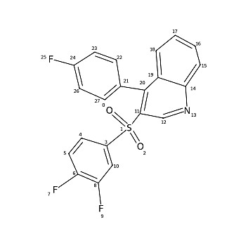 O=S(=O)(c1ccc(F)c(F)c1)c1cnc2ccccc2c1-c1ccc(F)cc1